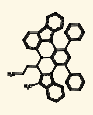 C=C/C=C1/B2c3c(c(-c4ccccc4)cc(-c4ccccc4)c3-n3c4ccccc4c4cccc2c43)-n2c1c(C)c1ccccc12